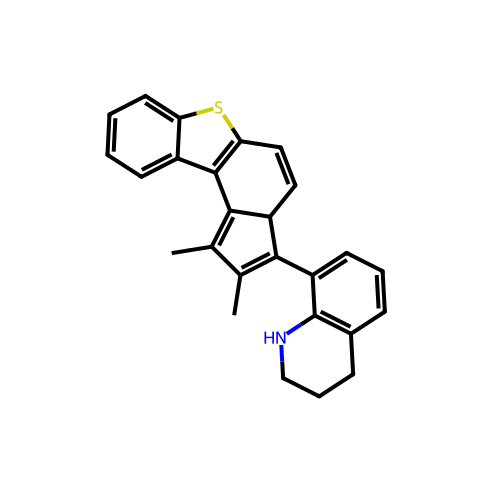 CC1=C(c2cccc3c2NCCC3)C2C=Cc3sc4ccccc4c3C2=C1C